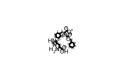 COC(=O)[C@H](Cc1ccccc1)NC(=O)OCc1ccccc1.N[C@@H](Cc1c[nH]cn1)C(=O)O